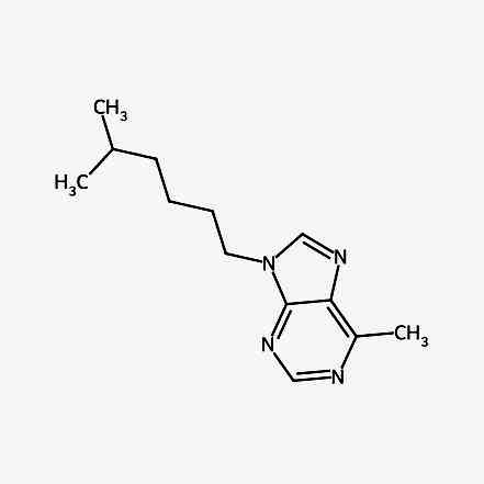 Cc1ncnc2c1ncn2CCCCC(C)C